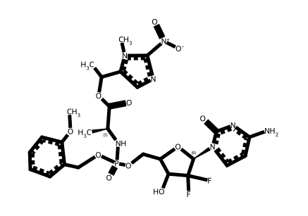 COc1ccccc1COP(=O)(N[C@@H](C)C(=O)OC(C)c1cnc([N+](=O)[O-])n1C)OCC1O[C@@H](n2ccc(N)nc2=O)C(F)(F)C1O